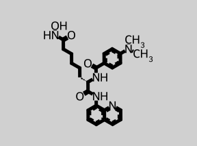 CN(C)c1ccc(C(=O)N[C@@H](CCCCCC(=O)NO)C(=O)Nc2cccc3cccnc23)cc1